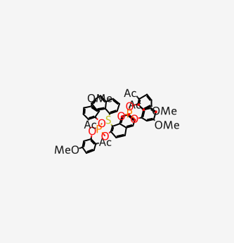 COc1ccc(C(C)=O)c(OP(Oc2cc(OC)ccc2C(C)=O)Oc2ccc3ccccc3c2Sc2c(OP(Oc3cc(OC)ccc3C(C)=O)Oc3cc(OC)ccc3C(C)=O)ccc3ccccc23)c1